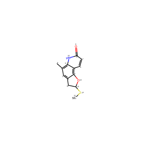 Cc1cc2c(c3ccc(=O)[nH]c13)OC(SC#N)C2